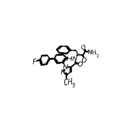 Cc1cc(C(=O)N[C@@H](Cc2ccccc2)C(=O)C(N)=O)n(-c2cccc(-c3ccc(F)cc3)c2)n1